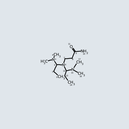 CCC(N(C)C)N(CCC(N)=O)C(CC)N(C)C